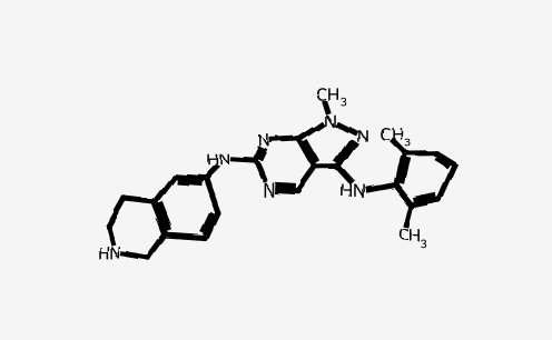 Cc1cccc(C)c1Nc1nn(C)c2nc(Nc3ccc4c(c3)CCNC4)ncc12